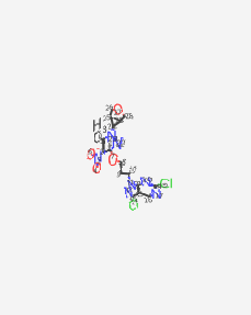 Cc1c([N+](=O)[O-])c(OCCCn2nc(Cl)c3cnc(Cl)nc32)nn1C1C2COCC21